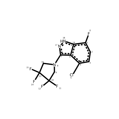 Fc1ccc(Cl)c2c(N3CC(F)(F)C(F)(F)C3)n[nH]c12